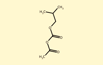 CC(=O)OC(=O)OCC(C)C